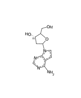 Nc1ncnc2c1ccn2C1C[C@H](O)C(CO)O1